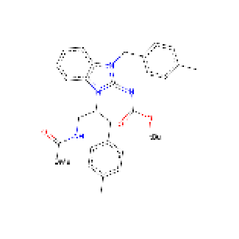 COC(=O)NCC(Cc1ccc(C)cc1)n1c(=NC(=O)OC(C)(C)C)n(Cc2ccc(C)cc2)c2ccccc21